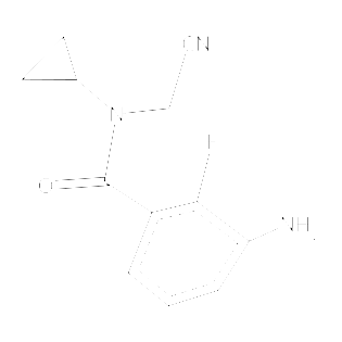 N#CCN(C(=O)c1cccc(N)c1F)C1CC1